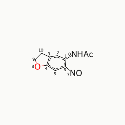 CC(=O)Nc1cc2c(cc1N=O)OCC2